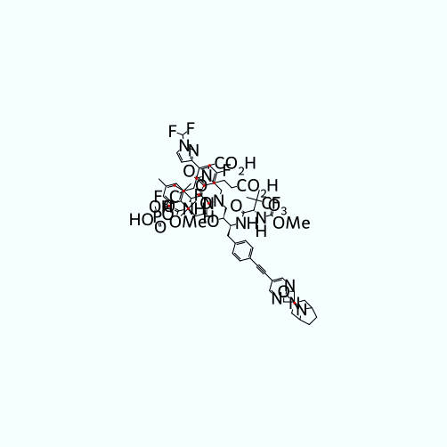 COC(=O)N[C@H](C(=O)N[C@@H](Cc1ccc(C#Cc2cnc(N3CC4CCC(C3)N4C3COC3)nc2)cc1)[C@H](CN(Cc1c(F)cc(-c2ccn(C(F)F)n2)cc1F)NC(=O)[C@@H](NC(=O)OC)C(C)(C)C(F)(F)F)OC(=O)CC(C)(C)c1c(CC(=O)N(CCCC(=O)O)CC(=O)O)cc(C)cc1OP(=O)(O)O)C(C)(C)C(F)(F)F